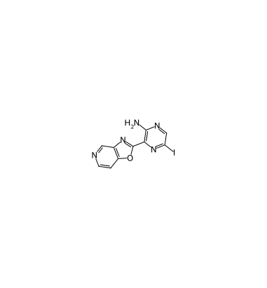 Nc1ncc(I)nc1-c1nc2cnccc2o1